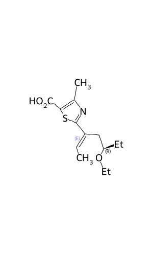 C/C=C(\C[C@@H](CC)OCC)c1nc(C)c(C(=O)O)s1